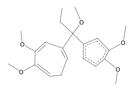 CCC(OC)(C1=CCC=C(OC)C(OC)=C1)c1ccc(OC)c(OC)c1